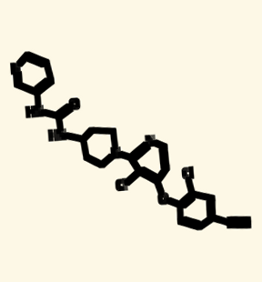 C#Cc1ccc(Oc2ccnc(N3CCC(NC(=O)Nc4cccnc4)CC3)c2Cl)c(Cl)c1